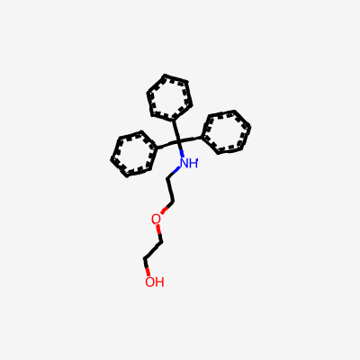 OCCOCCNC(c1ccccc1)(c1ccccc1)c1ccccc1